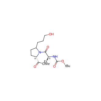 CC[C@H](NC(=O)OC(C)(C)C)C(=O)N1C(CCCO)CC[C@H]1C(=O)OC